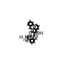 Cc1cccc(S(N)(=O)=O)c1NC(=O)c1c(O)c2cccnc2n(Cc2ccccc2)c1=O